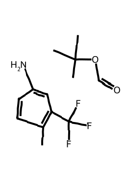 CC(C)(C)OC=O.Cc1ccc(N)cc1C(F)(F)F